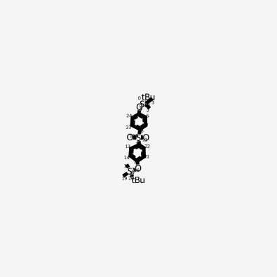 CC(C)(C)[Si](C)(C)Oc1ccc(S(=O)(=O)c2ccc(O[Si](C)(C)C(C)(C)C)cc2)cc1